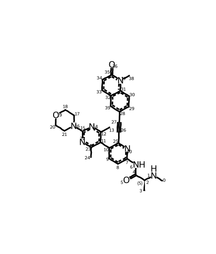 CN[C@@H](C)C(=O)Nc1ccc(-c2c(C)nc(N3CCOCC3)nc2C)c(C#Cc2ccc3c(ccc(=O)n3C)c2)n1